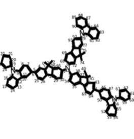 CC1(C)c2cc(-c3ccc4c(c3)c3ccccc3n4-c3ccccc3)ccc2-c2ccc(N(c3ccc4c(c3)C(C)(C)c3cc(-c5ccc6c(c5)c5ccccc5n6-c5ccccc5)ccc3-4)c3ccc4c(c3)C(C)(C)c3cc(-n5c6ccccc6c6ccccc65)ccc3-4)cc21